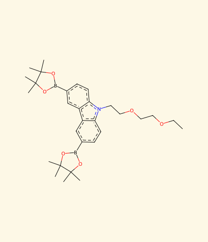 CCOCCOCCn1c2ccc(B3OC(C)(C)C(C)(C)O3)cc2c2cc(B3OC(C)(C)C(C)(C)O3)ccc21